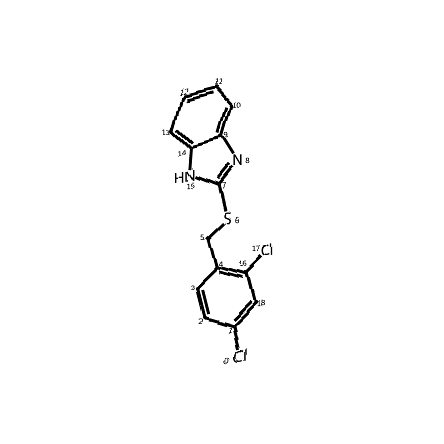 Clc1ccc(CSc2nc3ccccc3[nH]2)c(Cl)c1